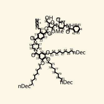 CCCCCCCCCCCCCCCCCCOc1cc(C(=O)N2CCN(C(=O)c3ccc(C(=O)OC4C(CO)OC(n5ccc(NC(=O)c6ccccc6)nc5=O)C4OC)c(CN=[N+]=[N-])c3)CC2)cc(OCCCCCCCCCCCCCCCCCC)c1OCCCCCCCCCCCCCCCCCC